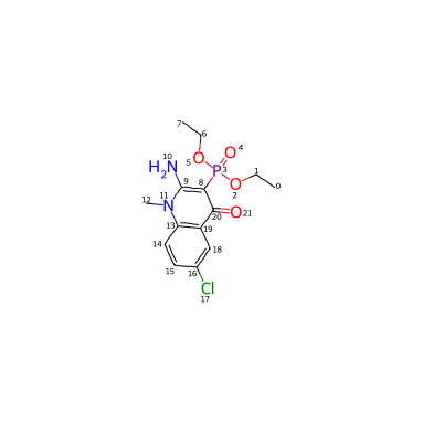 CCOP(=O)(OCC)c1c(N)n(C)c2ccc(Cl)cc2c1=O